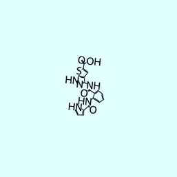 O=C(Nc1ccccc1C(=O)Nc1n[nH]c2sc(C(=O)O)cc12)c1ccc[nH]1